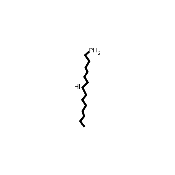 CCCCCCCCCCCCCCP.I